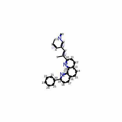 C=N/C=C(\C=C/C)/C=C(\C)c1ccc2ccc3ccc(-c4ccccc4)nc3c2n1